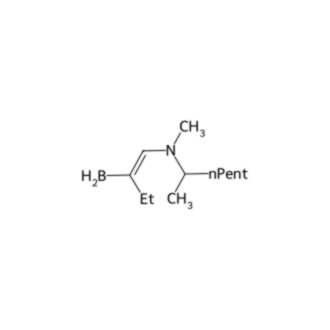 B/C(=C/N(C)C(C)CCCCC)CC